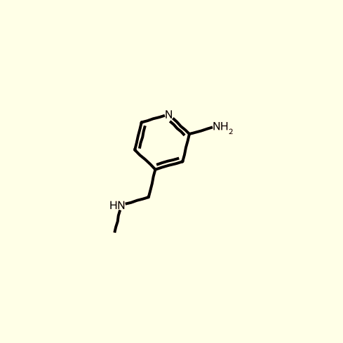 CNCc1ccnc(N)c1